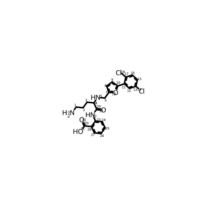 NCCCC(NCc1ccc(-c2cc(Cl)ccc2Cl)o1)C(=O)Nc1ccccc1C(=O)O